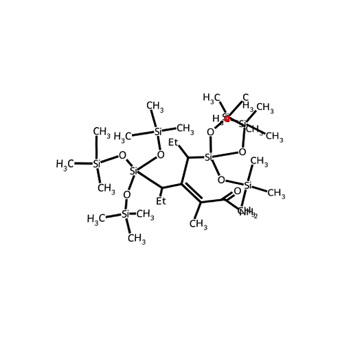 CCC(C(=C(C)C(N)=O)C(CC)[Si](O[Si](C)(C)C)(O[Si](C)(C)C)O[Si](C)(C)C)[Si](O[Si](C)(C)C)(O[Si](C)(C)C)O[Si](C)(C)C